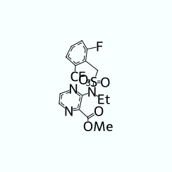 CCN(c1nccnc1C(=O)OC)S(=O)(=O)Cc1c(F)cccc1C(F)(F)F